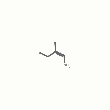 CC/C(C)=C\N